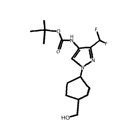 CC(C)(C)OC(=O)Nc1cn(C2CCC(CO)CC2)nc1C(F)F